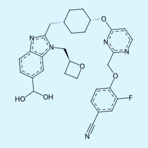 N#Cc1ccc(OCc2nccc(O[C@H]3CC[C@@H](Cc4nc5ccc(C(O)O)cc5n4C[C@@H]4CCO4)CC3)n2)c(F)c1